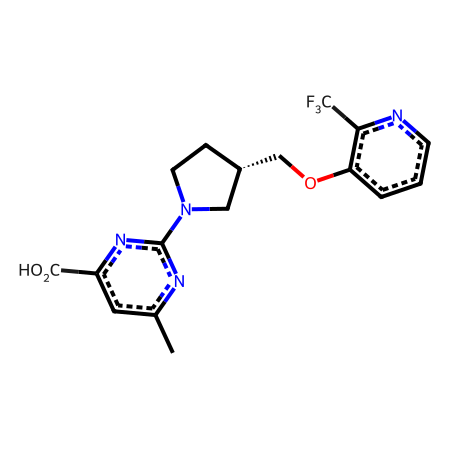 Cc1cc(C(=O)O)nc(N2CC[C@H](COc3cccnc3C(F)(F)F)C2)n1